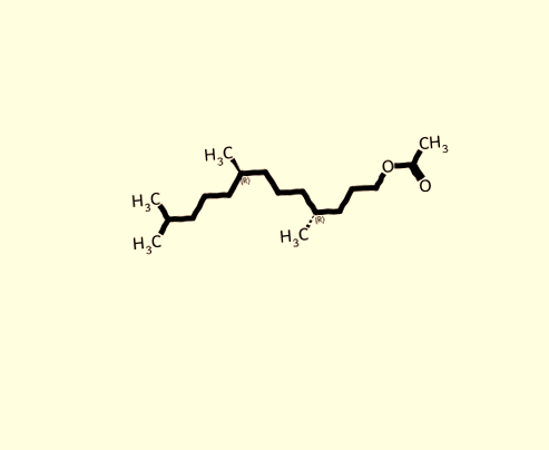 CC(=O)OCCC[C@H](C)CCC[C@H](C)CCCC(C)C